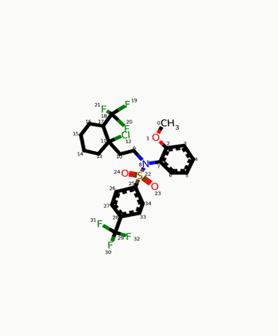 COc1ccccc1N(CCC1(Cl)CCCCC1C(F)(F)F)S(=O)(=O)c1ccc(C(F)(F)F)cc1